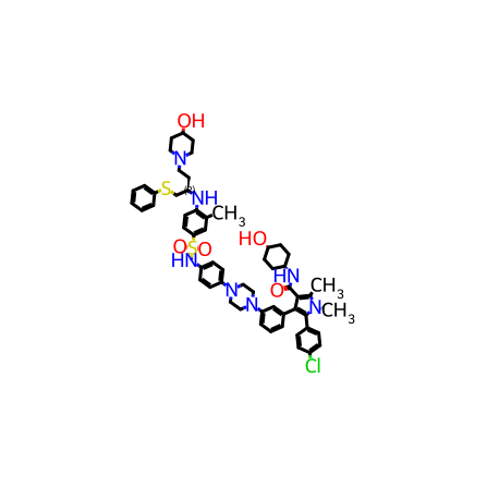 Cc1cc(S(=O)(=O)Nc2ccc(N3CCN(c4cccc(-c5c(C(=O)N[C@H]6CC[C@@H](O)CC6)c(C)n(C)c5-c5ccc(Cl)cc5)c4)CC3)cc2)ccc1N[C@H](CCN1CCC(O)CC1)CSc1ccccc1